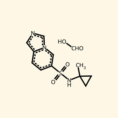 CC1(NS(=O)(=O)c2ccc3cncn3c2)CC1.O=CO